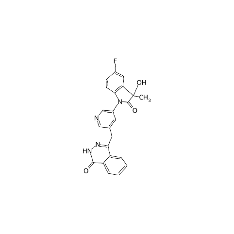 CC1(O)C(=O)N(c2cncc(Cc3n[nH]c(=O)c4ccccc34)c2)c2ccc(F)cc21